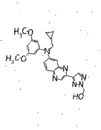 COc1cc(OC)cc(N(CC2CC2)c2ccc3ncc(-c4cnn(CO)n4)nc3c2)c1